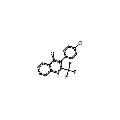 O=c1c2ccccc2nc(C(F)(F)F)n1-c1ccc(Cl)cc1